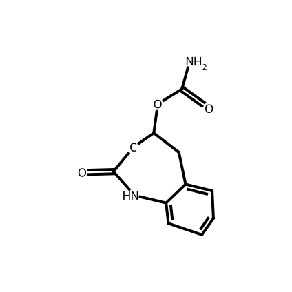 NC(=O)OC1CC(=O)Nc2ccccc2C1